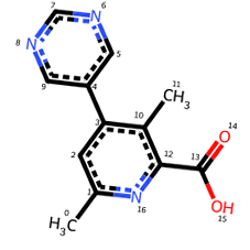 Cc1cc(-c2cncnc2)c(C)c(C(=O)O)n1